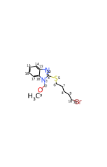 COCn1c(SCCCCCBr)nc2ccccc21